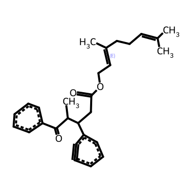 CC(C)=CCC/C(C)=C/COC(=O)CC(c1c#cccc1)C(C)C(=O)c1ccccc1